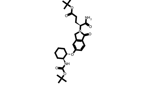 CC(C)(C)OC(=O)CC[C@@H](C(N)=O)N1Cc2cc(O[C@H]3CCCC[C@@H]3NC(=O)OC(C)(C)C)ccc2C1=O